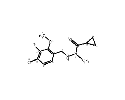 COc1c(CNN(C)C(=O)C2CC2)ccc(Cl)c1F